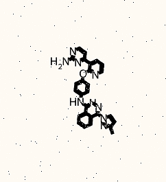 Cc1ccn(-c2nnc(Nc3ccc(Oc4ncccc4-c4ccnc(N)n4)cc3)c3ccccc23)n1